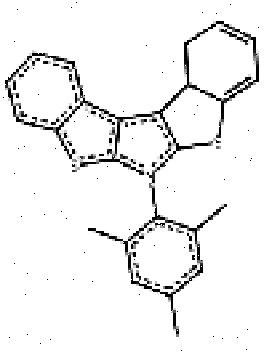 Cc1cc(C)c(-n2c3c(c4c5ccccc5sc42)C2CC=CC=C2S3)c(C)c1